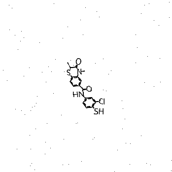 CC1Sc2ccc(C(=O)Nc3ccc(S)c(Cl)c3)cc2N(C)C1=O